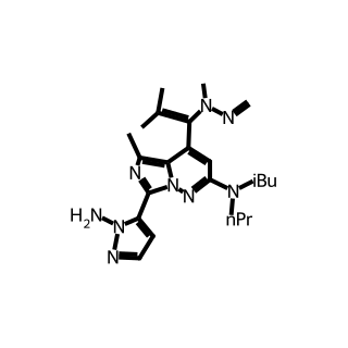 C=NN(C)C(=C(C)C)c1cc(N(CCC)C(C)CC)nn2c(-c3ccnn3N)nc(C)c12